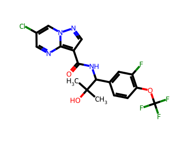 CC(C)(O)C(NC(=O)c1cnn2cc(Cl)cnc12)c1ccc(OC(F)(F)F)c(F)c1